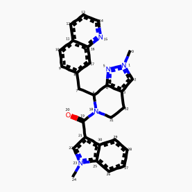 Cn1cc2c(n1)C(Cc1ccc3cccnc3c1)N(C(=O)c1cn(C)c3ccccc13)CC2